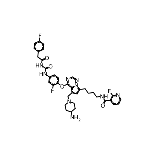 NC1CCN(Cc2cc(CCCCNC(=O)c3cccnc3F)n3ncnc(Oc4ccc(NC(=O)NC(=O)Cc5ccc(F)cc5)cc4F)c23)CC1